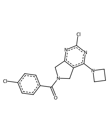 O=C(c1ccc(Cl)cc1)N1Cc2nc(Cl)nc(N3CCC3)c2C1